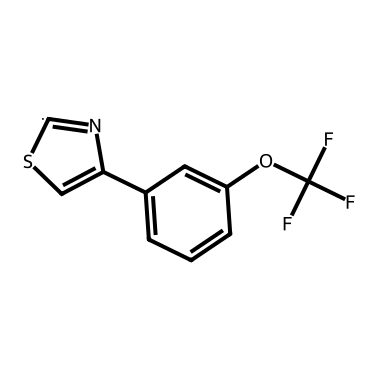 FC(F)(F)Oc1cccc(-c2cs[c]n2)c1